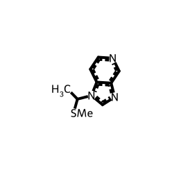 CSC(C)n1cnc2cnccc21